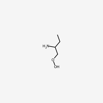 CCC(N)COO